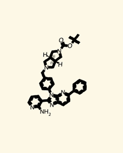 CC(C)(C)OC(=O)N1C[C@@H]2CN(Cc3ccc(-n4c(-c5cccnc5N)nc5ccc(-c6ccccc6)nc54)cc3)C[C@H]2C1